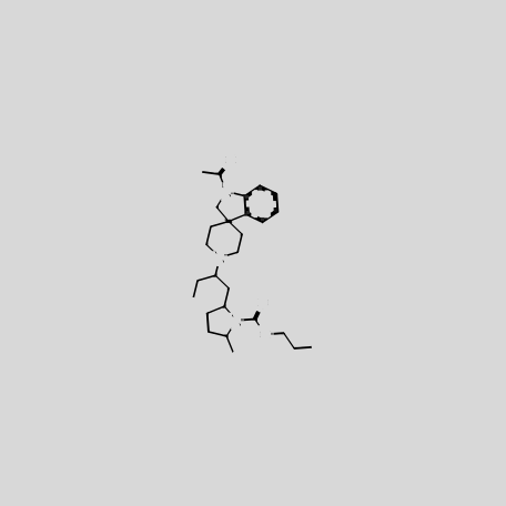 CCCOC(=O)N1C(C)CCC1CC(CC)N1CCC2(CC1)CN(C(C)=O)c1ccccc12